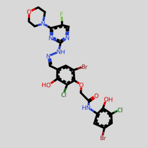 O=C(COc1c(Br)cc(/C=N\Nc2ncc(F)c(N3CCOCC3)n2)c(O)c1Cl)Nc1cc(Br)cc(Cl)c1O